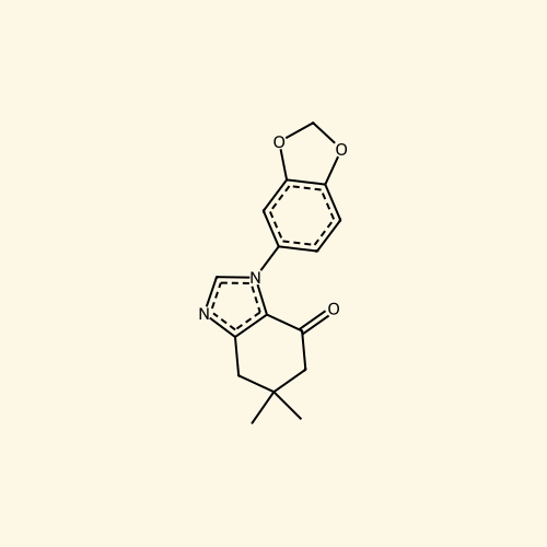 CC1(C)CC(=O)c2c(ncn2-c2ccc3c(c2)OCO3)C1